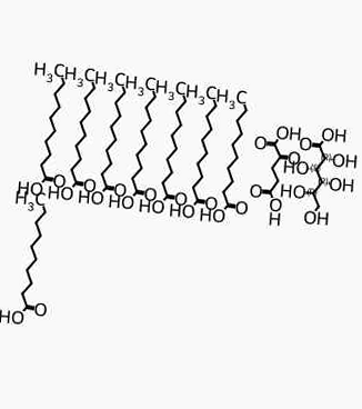 CCCCCCCCCC(=O)O.CCCCCCCCCC(=O)O.CCCCCCCCCC(=O)O.CCCCCCCCCC(=O)O.CCCCCCCCCC(=O)O.CCCCCCCCCC(=O)O.CCCCCCCCCC(=O)O.CCCCCCCCCC(=O)O.O=C(O)CCC(=O)C(=O)O.O=C(O)[C@H](O)[C@@H](O)[C@H](O)[C@H](O)CO